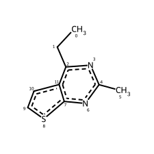 CCc1nc(C)nc2sccc12